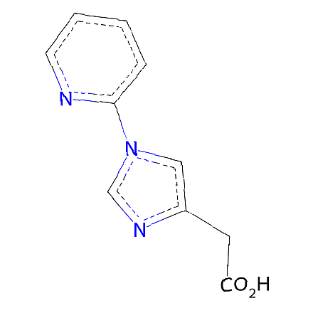 O=C(O)Cc1cn(-c2ccccn2)cn1